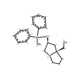 CC(C)(C)[Si](O[C@@H]1CN2CCC[C@@]2(CO)C1)(c1ccccc1)c1ccccc1